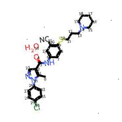 Cc1c(C(=O)Nc2ccc(SCCCN3CCCCC3)c(C#N)c2)cnn1-c1ccc(Cl)cc1.O